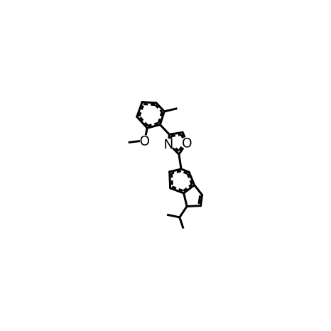 COc1cccc(C)c1-c1coc(-c2ccc3c(c2)C=CC3C(C)C)n1